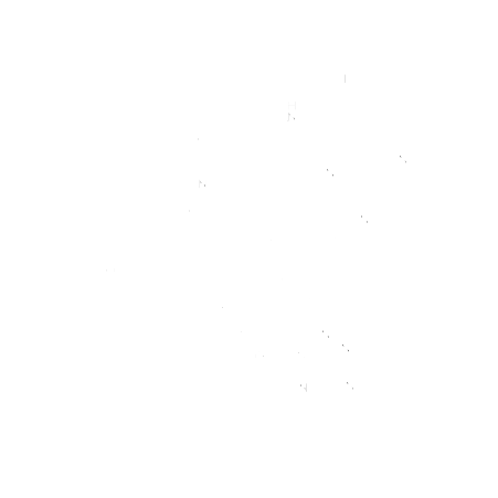 Cn1nnn(-c2cc(Nc3ncc(F)c(NC4CC5CCC(=O)N5C(C)(C)C4)n3)c(F)cc2C2CC2)c1=O.O=CO